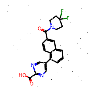 O=C(O)c1ncc(-c2cccc3cc(C(=O)N4CCC(F)(F)CC4)ccc23)cn1